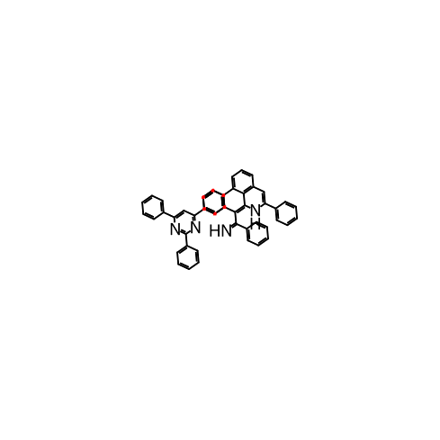 N=C(/C(=C1\NC(c2ccccc2)=Cc2cccc(-c3ccc(-c4cc(-c5ccccc5)nc(-c5ccccc5)n4)cc3)c21)c1ccccc1)c1ccccc1